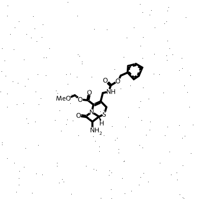 COCOC(=O)C1=C(CNC(=O)OCc2ccccc2)CS[C@@H]2C(N)C(=O)N12